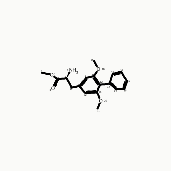 COC(=O)[C@@H](N)Cc1cc(OC)c(-c2ccccc2)c(OC)c1